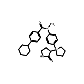 CN(C(=O)c1ccc(C2CCCCC2)cc1)c1ccc([N+]2(C3CCNC3=O)CCCC2)cc1